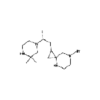 CC(C)N1CCNC2(CC2C[C@@H](C)N2CCNC(C)(C)C2)C1